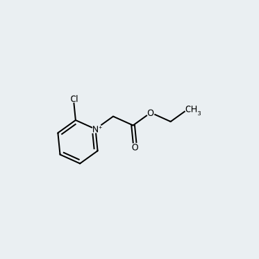 CCOC(=O)C[n+]1ccccc1Cl